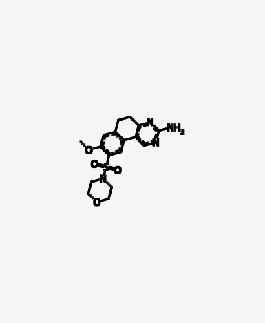 COc1cc2c(cc1S(=O)(=O)N1CCOCC1)-c1cnc(N)nc1CC2